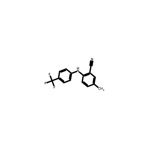 Cc1ccc(Nc2ccc(C(F)(F)F)cc2)c(C#N)c1